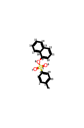 Cc1ccc(S(=O)(=O)Oc2cccc3ccccc23)cc1